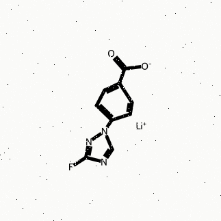 O=C([O-])c1ccc(-n2cnc(F)n2)cc1.[Li+]